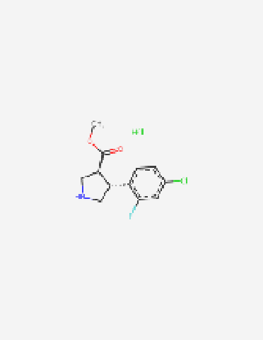 COC(=O)[C@@H]1CNC[C@H]1c1ccc(Cl)cc1F.Cl